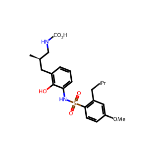 COc1ccc(S(=O)(=O)Nc2cccc(C[C@@H](C)CNC(=O)O)c2O)c(CC(C)C)c1